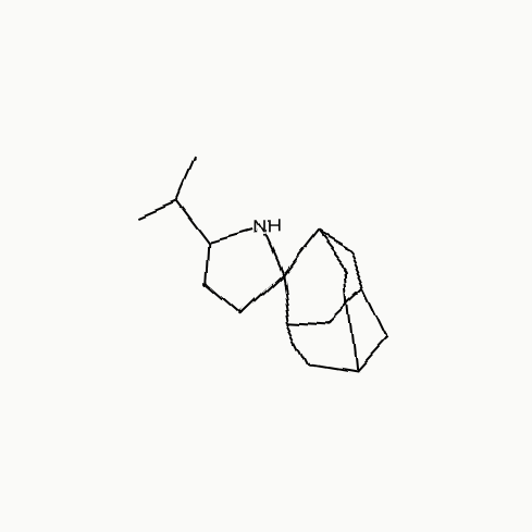 CC(C)C1CCC2(N1)C1CC3CC(C1)CC2C3